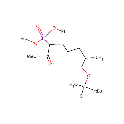 CCOP(=O)(OCC)C(CCC[C@H](C)CO[Si](C)(C)C(C)(C)C)C(=O)OC